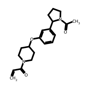 C=CC(=O)N1CCC(Oc2cccc(C3CCCN3C(C)=O)c2)CC1